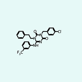 O=c1nc(Nc2cccc(C(F)(F)F)c2)n(CCc2ccccc2)c(=O)n1Cc1ccc(Cl)cc1